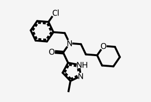 Cc1cc(C(=O)N(CCC2CCCCO2)Cc2ccccc2Cl)[nH]n1